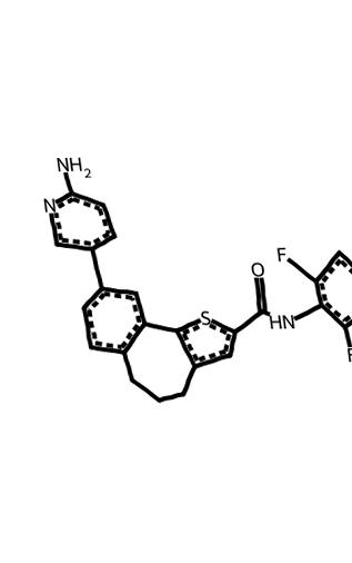 Nc1ccc(-c2ccc3c(c2)-c2sc(C(=O)Nc4c(F)cccc4F)cc2CCC3)cn1